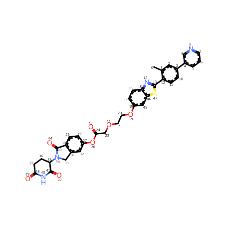 Cc1cc(-c2cccnc2)ccc1-c1nc2ccc(OCCOCC(=O)Oc3ccc4c(c3)CN(C3CCC(=O)NC3=O)C4=O)cc2s1